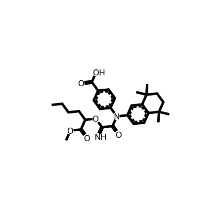 CCCCC(OC(=N)C(=O)N(c1ccc(C(=O)O)cc1)c1ccc2c(c1)C(C)(C)CCC2(C)C)C(=O)OC